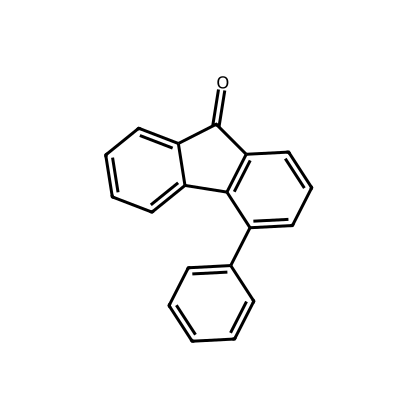 O=C1c2ccccc2-c2c1cccc2-c1ccccc1